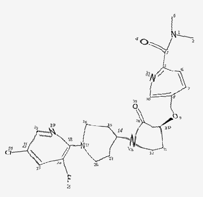 CN(C)C(=O)c1ccc(O[C@H]2CCN(C3CCN(c4ncc(Cl)cc4F)CC3)C2=O)cn1